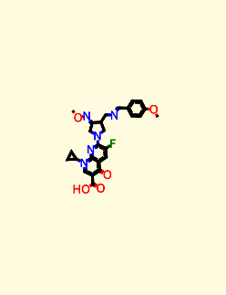 CO/N=C1\CN(c2nc3c(cc2F)c(=O)c(C(=O)O)cn3C2CC2)CC1CN=Cc1ccc(OC)cc1